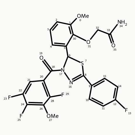 COc1cccc(C2SC(c3ccc(F)cc3)=NN2C(=O)c2cc(F)c(F)c(OC)c2F)c1OCC(N)=O